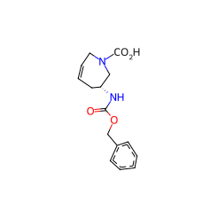 O=C(N[C@@H]1CC=CCN(C(=O)O)C1)OCc1ccccc1